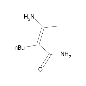 CCCCC(C(N)=O)=C(C)N